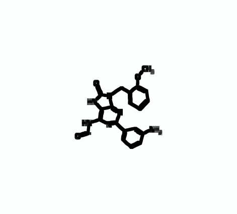 COc1ccccc1Cn1c(=O)[nH]c2c(N[C]=O)nc(-c3cccc(N)c3)nc21